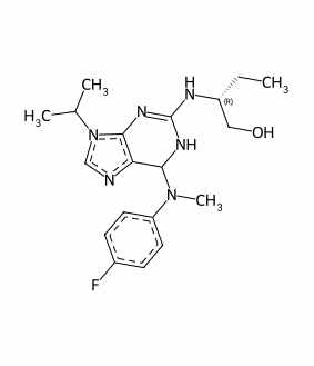 CC[C@H](CO)NC1=Nc2c(ncn2C(C)C)C(N(C)c2ccc(F)cc2)N1